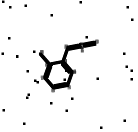 C=C=Cc1ccccc1C